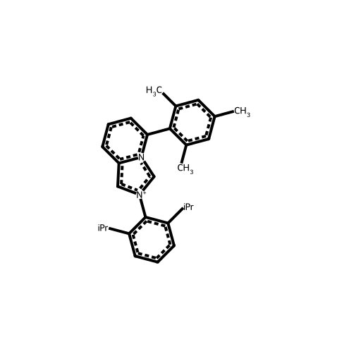 Cc1cc(C)c(-c2cccc3c[n+](-c4c(C(C)C)cccc4C(C)C)cn23)c(C)c1